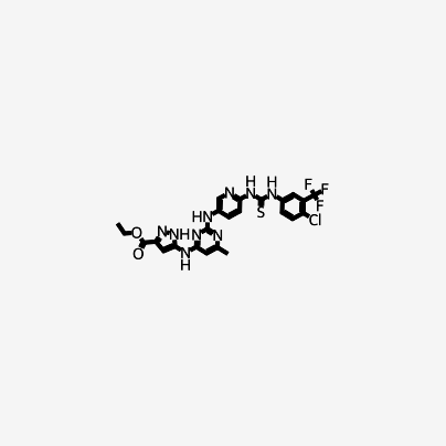 CCOC(=O)c1cc(Nc2cc(C)nc(Nc3ccc(NC(=S)Nc4ccc(Cl)c(C(F)(F)F)c4)nc3)n2)[nH]n1